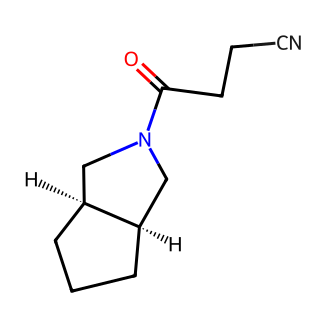 N#CCCC(=O)N1C[C@H]2CCC[C@H]2C1